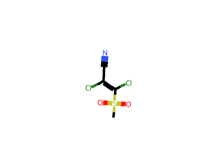 CS(=O)(=O)/C(Cl)=C(\Cl)C#N